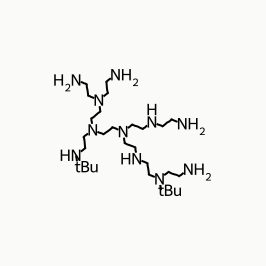 CC(C)(C)NCCN(CCN(CCN)CCN)CCN(CCNCCN)CCNCCN(CCN)C(C)(C)C